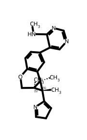 CNc1ncncc1-c1ccc2c(c1)[C@]1(C)[C@](C)(CO2)[C@@]1(C)C1=CCC=N1